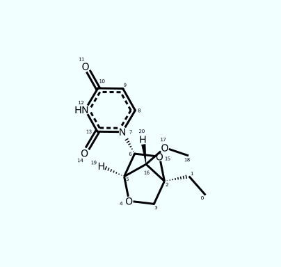 CC[C@@]12CO[C@@H]([C@H](n3ccc(=O)[nH]c3=O)O1)[C@@H]2OC